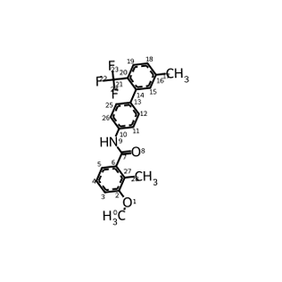 COc1cccc(C(=O)Nc2ccc(-c3cc(C)ccc3C(F)(F)F)cc2)c1C